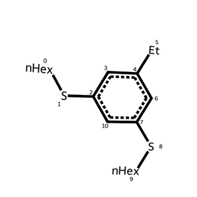 CCCCCCSc1cc(CC)cc(SCCCCCC)c1